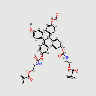 C=C(C)C(=O)OCCNC(=O)Oc1ccc(C(c2ccc(OC)cc2)C(c2ccc(OC=O)cc2)c2ccc(OC(=O)NCCOC(=O)C(=C)C)cc2)cc1